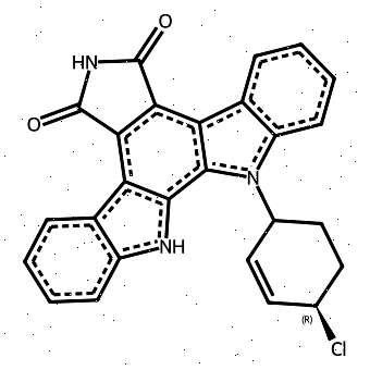 O=C1NC(=O)c2c1c1c3ccccc3[nH]c1c1c2c2ccccc2n1C1C=C[C@H](Cl)CC1